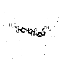 CCOC(=O)C1CCN(c2ccc(C(=O)Nc3ccc4ccn(CC)c4c3)cn2)CC1